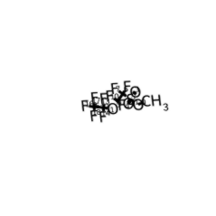 COS(=O)(=O)C(F)(F)C(F)(F)OC(F)(F)C(F)(F)F